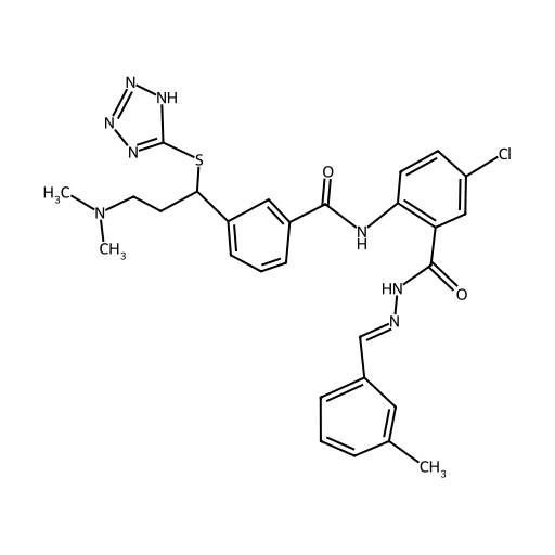 Cc1cccc(C=NNC(=O)c2cc(Cl)ccc2NC(=O)c2cccc(C(CCN(C)C)Sc3nnn[nH]3)c2)c1